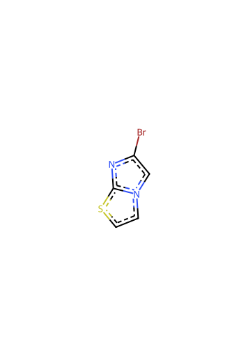 Brc1cn2ccsc2n1